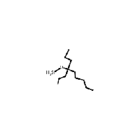 CCCCCC(CCC)(CCC)O[SiH3]